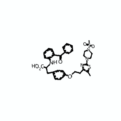 Cc1sc(N2CCN(S(C)(=O)=O)CC2)nc1CCOc1ccc(CC(Nc2ccccc2C(=O)c2ccccc2)C(=O)O)cc1